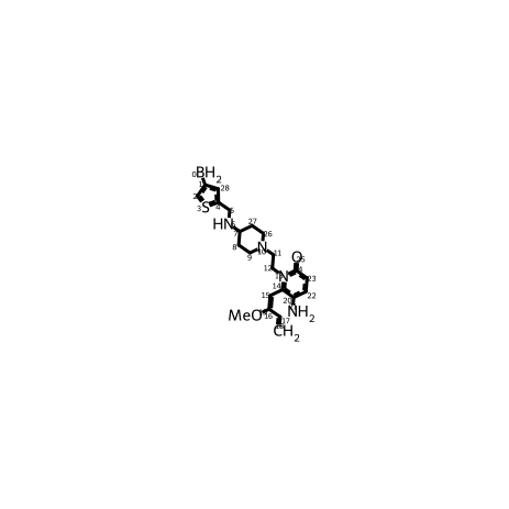 Bc1csc(CNC2CCN(CCn3c(/C=C(\C=C)OC)c(N)ccc3=O)CC2)c1